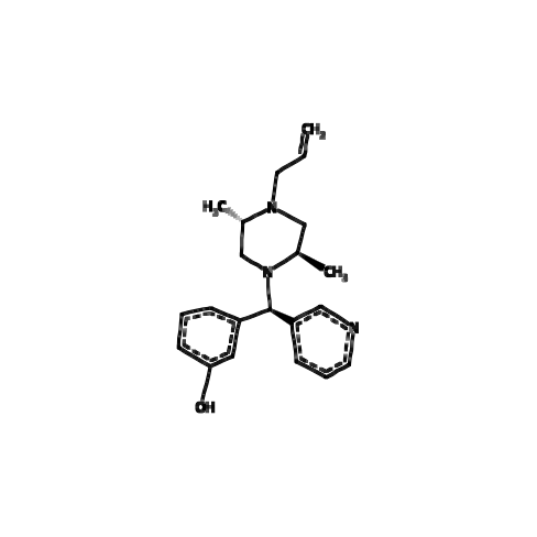 C=CCN1C[C@@H](C)N([C@@H](c2cccnc2)c2cccc(O)c2)C[C@@H]1C